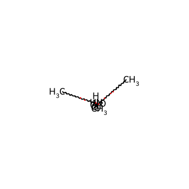 CCC=CCC=CCC=CCC=CCC=CCC=CCCC(=O)NC[C@H](NC(=O)CCC=CCC=CCC=CCC=CCC=CCC=CCC)C(=O)OC